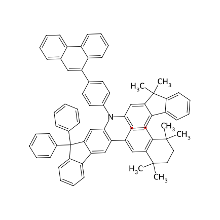 CC1(C)CCC(C)(C)c2cc(-c3cc4c(cc3N(c3ccc(-c5cc6ccccc6c6ccccc56)cc3)c3ccc5c(c3)C(C)(C)c3ccccc3-5)C(c3ccccc3)(c3ccccc3)c3ccccc3-4)ccc21